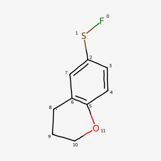 FSc1ccc2c(c1)[CH]CCO2